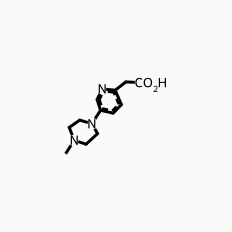 CN1CCN(c2ccc(CC(=O)O)nc2)CC1